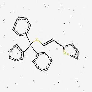 C(=Cc1cccs1)SC(c1ccccc1)(c1ccccc1)c1ccccc1